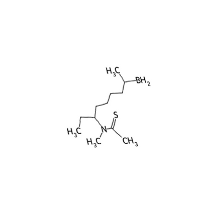 BC(C)CCCCC(CC)N(C)C(C)=S